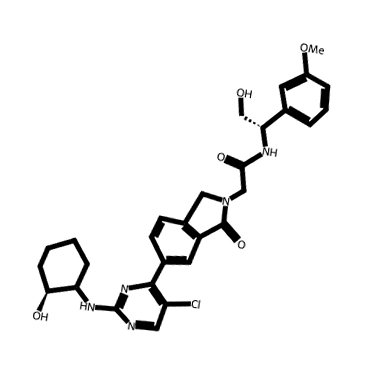 COc1cccc([C@@H](CO)NC(=O)CN2Cc3ccc(-c4nc(NC5CCCC[C@@H]5O)ncc4Cl)cc3C2=O)c1